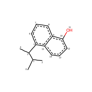 CC(C)C(C)c1cccc2c(O)cccc12